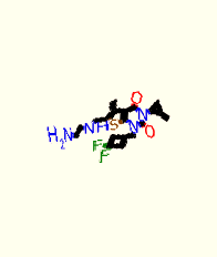 Cc1c(CNCCN)sc2c1c(=O)n(C1CC1C)c(=O)n2CC1CC(F)(F)C1